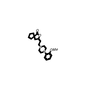 COc1ccccc1N1CCN(CCC2CC3(CCCC3)C(=O)O2)CC1